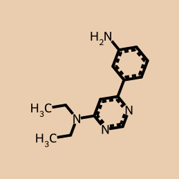 CCN(CC)c1cc(-c2cccc(N)c2)ncn1